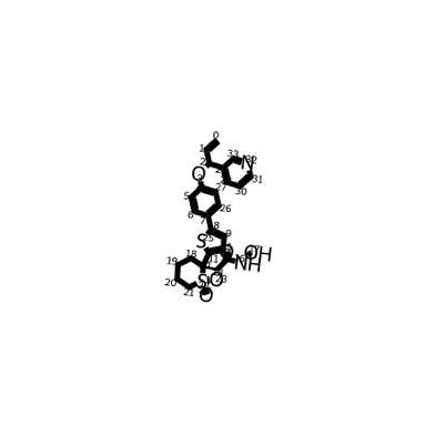 C=CC(Oc1ccc(-c2ccc([C@@]3(CC(=O)NO)CCCCS3(=O)=O)s2)cc1)c1cccnc1